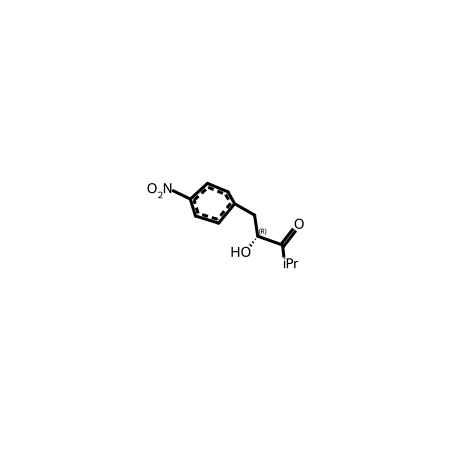 CC(C)C(=O)[C@H](O)Cc1ccc([N+](=O)[O-])cc1